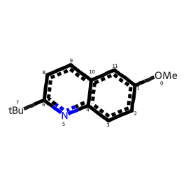 COc1ccc2nc(C(C)(C)C)c[c]c2c1